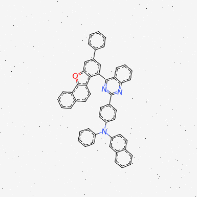 c1ccc(-c2cc(-c3nc(-c4ccc(N(c5ccccc5)c5ccc6ccccc6c5)cc4)nc4ccccc34)c3c(c2)oc2c4ccccc4ccc23)cc1